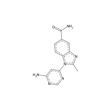 Cc1nc2cc(C(N)=O)ccc2n1-c1cc(N)ncn1